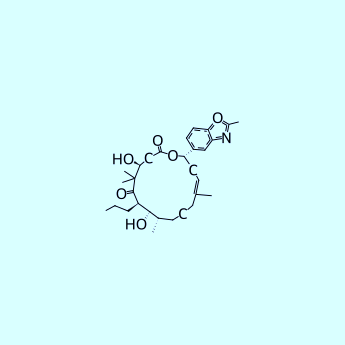 CCC[C@H]1C(=O)C(C)(C)[C@@H](O)CC(=O)O[C@H](c2ccc3oc(C)nc3c2)C/C=C(/C)CCC[C@H](C)[C@@H]1O